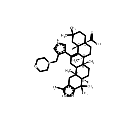 CC1(C)CC[C@]2(C(=O)O)CC[C@]3(C)C(=C(c4c[nH]cc4CN4CCOCC4)CC4[C@@]5(C)Cc6c(n[nH]c6N)C(C)(C)[C@@H]5CC[C@]43C)[C@@H]2C1